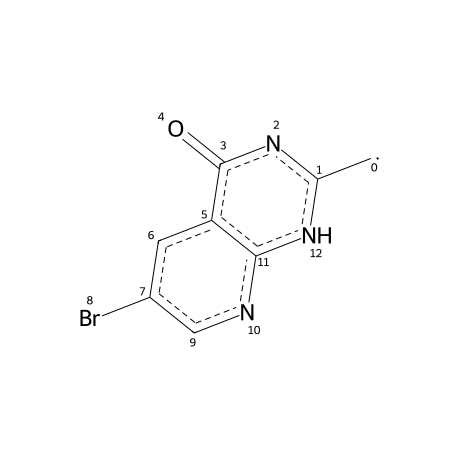 [CH2]c1nc(=O)c2cc(Br)cnc2[nH]1